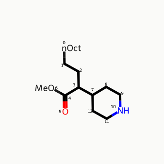 CCCCCCCCCCC(C(=O)OC)C1CCNCC1